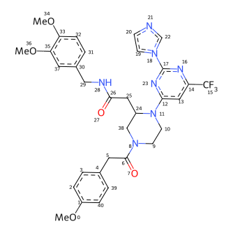 COc1ccc(CC(=O)N2CCN(c3cc(C(F)(F)F)nc(-n4ccnc4)n3)C(CC(=O)NCc3ccc(OC)c(OC)c3)C2)cc1